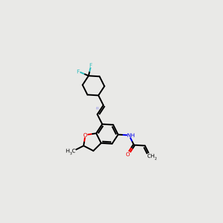 C=CC(=O)Nc1cc(/C=C/C2CCC(F)(F)CC2)c2c(c1)CC(C)O2